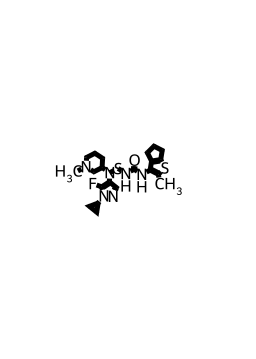 Cc1sc2c(c1NC(=O)NSN(c1cnn(C3CC3)c1F)C1CCCN(C)C1)CCC2